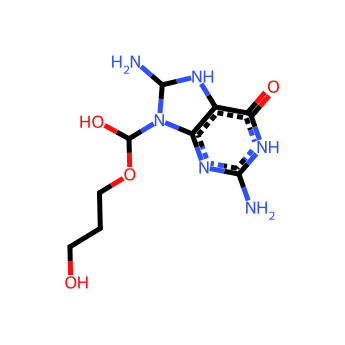 Nc1nc2c(c(=O)[nH]1)NC(N)N2C(O)OCCCO